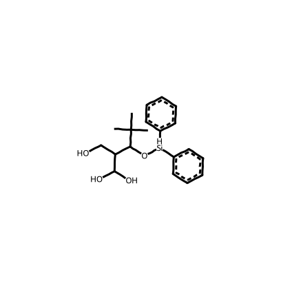 CC(C)(C)C(O[SiH](c1ccccc1)c1ccccc1)C(CO)C(O)O